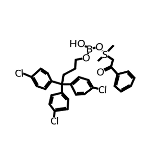 CS(C)(CC(=O)c1ccccc1)OB(O)OCCCC(c1ccc(Cl)cc1)(c1ccc(Cl)cc1)c1ccc(Cl)cc1